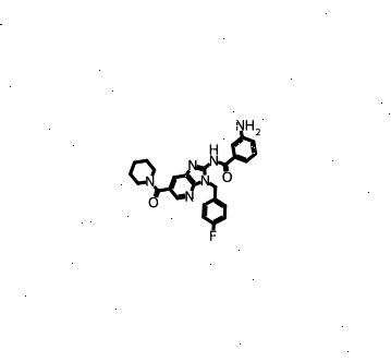 Nc1cccc(C(=O)Nc2nc3cc(C(=O)N4CCCCC4)cnc3n2Cc2ccc(F)cc2)c1